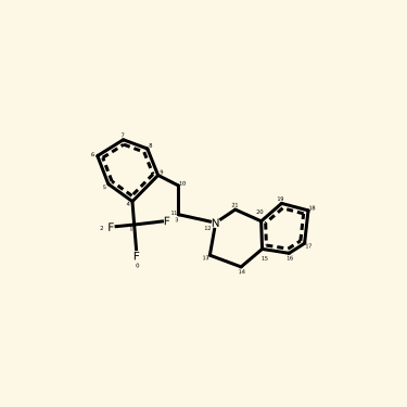 FC(F)(F)c1ccccc1CCN1CCc2ccccc2C1